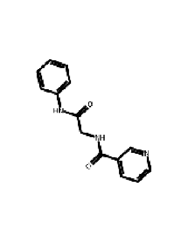 O=C(CNC(=O)c1cccnc1)Nc1ccccc1